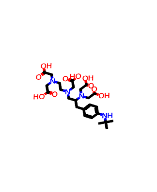 CC(C)(C)Nc1ccc(CC(CN(CCN(CC(=O)O)CC(=O)O)CC(=O)O)N(CC(=O)O)CC(=O)O)cc1